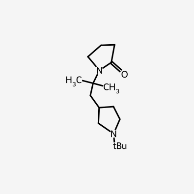 CC(C)(C)N1CCC(CC(C)(C)N2CCCC2=O)C1